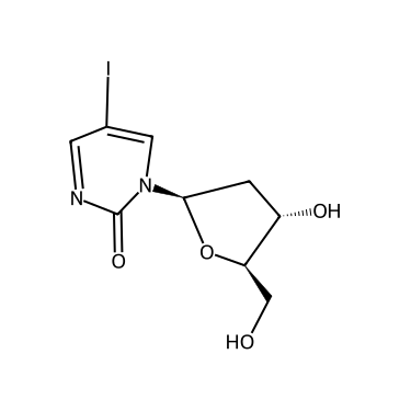 O=c1ncc(I)cn1[C@H]1C[C@H](O)[C@@H](CO)O1